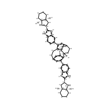 Fc1cc2cc(-c3ccc4[nH]c([C@@H]5C[C@@H]6CCCC[C@@H]6N5)nc4c3)c1C1(F)CCc3cc(-c4ccc5[nH]c([C@@H]6C[C@@H]7CCCC[C@@H]7N6)nc5c4)c(c1c3)CC2